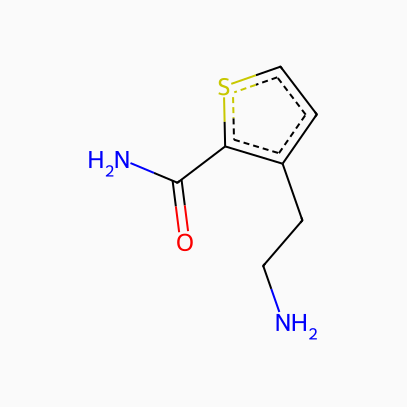 NCCc1ccsc1C(N)=O